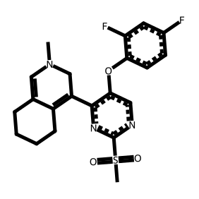 CN1C=C2CCCCC2=C(c2nc(S(C)(=O)=O)ncc2Oc2ccc(F)cc2F)C1